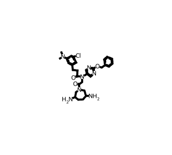 CN(C)c1cc(Cl)cc(CCC(=O)N(CC(=O)N2CC(N)CCC(N)C2)c2cnc(OCc3ccccc3)nc2)c1